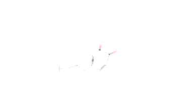 O=C1C=CC(CCO)=CC1=O